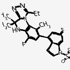 CCc1nnc2n1-c1c(C)c(-c3cc(F)cc4c3ccn4S(C)(=O)=O)cc(F)c1NC2(C)C